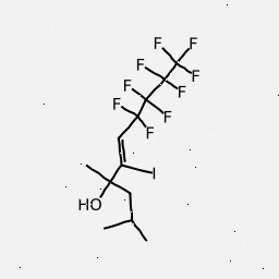 CC(C)CC(C)(O)C(I)=CC(F)(F)C(F)(F)C(F)(F)C(F)(F)F